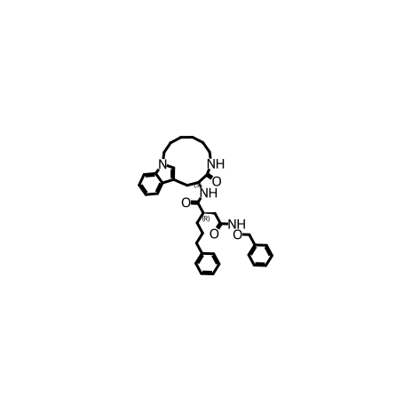 O=C(C[C@@H](CCCc1ccccc1)C(=O)N[C@H]1Cc2cn(c3ccccc23)CCCCCCNC1=O)NOCc1ccccc1